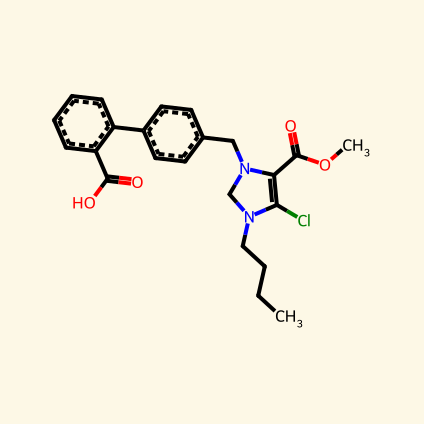 CCCCN1CN(Cc2ccc(-c3ccccc3C(=O)O)cc2)C(C(=O)OC)=C1Cl